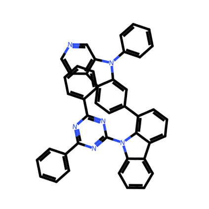 c1ccc(-c2nc(-c3ccccc3)nc(-n3c4ccccc4c4cccc(-c5ccc6c7ccncc7n(-c7ccccc7)c6c5)c43)n2)cc1